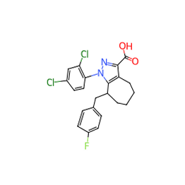 O=C(O)c1nn(-c2ccc(Cl)cc2Cl)c2c1CCCCC2Cc1ccc(F)cc1